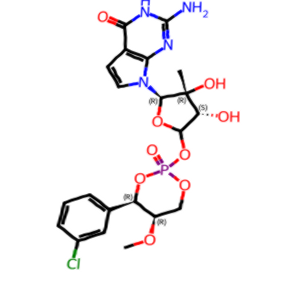 CO[C@@H]1COP(=O)(OC2O[C@@H](n3ccc4c(=O)[nH]c(N)nc43)[C@](C)(O)[C@@H]2O)O[C@@H]1c1cccc(Cl)c1